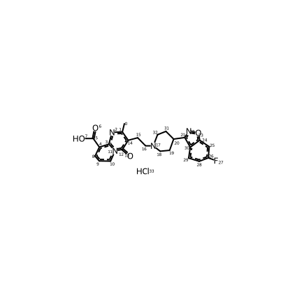 Cc1nc2c(C(=O)O)cccn2c(=O)c1CCN1CCC(c2noc3cc(F)ccc23)CC1.Cl